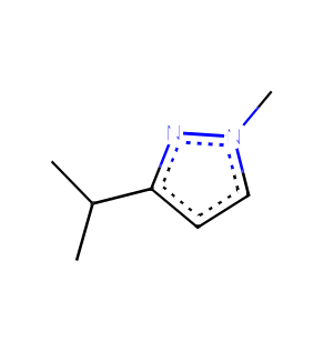 CC(C)c1ccn(C)n1